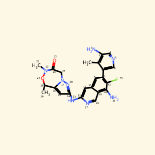 Cc1c(N)cncc1-c1cc2cc(Nc3cc4n(n3)CC(=O)N(C)OC4C)ncc2c(N)c1F